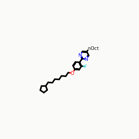 CCCCCCCCc1cnc(-c2ccc(OCCCCCCCC3CCCC3)cc2F)nc1